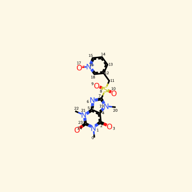 Cn1c(=O)c2c(nc(S(=O)(=O)Cc3ccc[n+]([O-])c3)n2C)n(C)c1=O